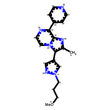 COCCCn1cc(-c2c(C)nc3c(-c4ccncc4)nccn23)cn1